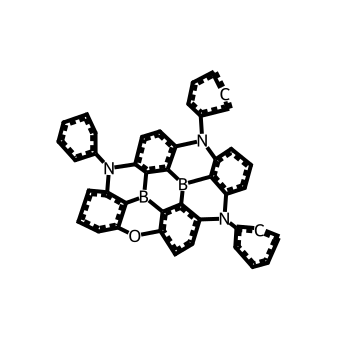 c1ccc(N2c3cccc4c3B3c5c2ccc2c5B5c6c(cccc6N(c6ccccc6)c6ccc(c3c65)N4c3ccccc3)O2)cc1